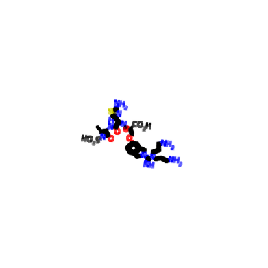 C[C@H]1[C@H](NC(=O)/C(=N\O[C@@H](COc2ccc3c(c2)CN(C(=N)N(CCCN)CCCN)C3)C(=O)O)c2csc(N)n2)C(=O)N1S(=O)(=O)O